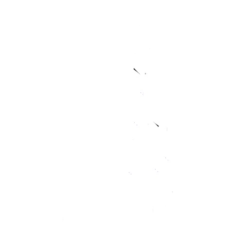 CCOc1ccccc1[C@H](CO)N1CCN(C(=O)c2cnn3c(C(F)(F)F)c(C)c(-c4ccc(OC)cc4)nc23)[C@H](C)C1